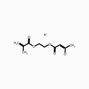 C=C(C)C(=O)OCCOC(=O)C=C(C)[O-].[K+]